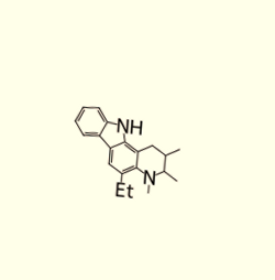 CCc1cc2c([nH]c3ccccc32)c2c1N(C)C(C)C(C)C2